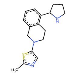 Cc1ncc(N2CCc3c(cccc3C3CCCN3)C2)s1